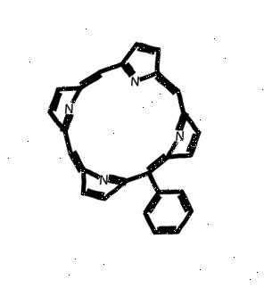 C1=CC2=NC1=CC1=NC(=C(c3ccccc3)C3=NC(=CC4=NC(=C2)C=C4)C=C3)C=C1